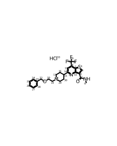 CNC(=O)c1csc2c(C(F)(F)F)cc(C3CCN(CCOCc4ccccc4)CC3)nc12.Cl